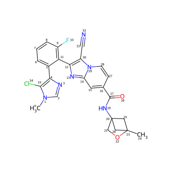 Cn1cnc(-c2cccc(F)c2-c2nc3cc(C(=O)NC45COC(C)(C4)C5)ccn3c2C#N)c1Cl